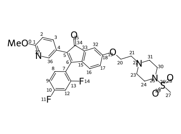 COc1ccc(C2=C(c3ccc(F)cc3F)c3ccc(OCCN4CCN(S(C)(=O)=O)CC4)cc3C2=O)cn1